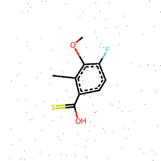 COc1c(F)ccc(C(O)=S)c1C